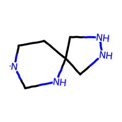 C1CC2(CNNC2)NC[N]1